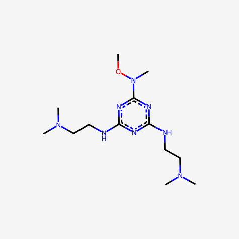 CON(C)c1nc(NCCN(C)C)nc(NCCN(C)C)n1